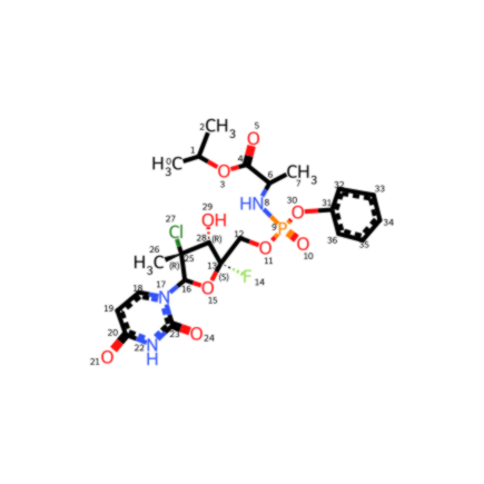 CC(C)OC(=O)C(C)NP(=O)(OC[C@@]1(F)OC(n2ccc(=O)[nH]c2=O)[C@](C)(Cl)[C@@H]1O)Oc1ccccc1